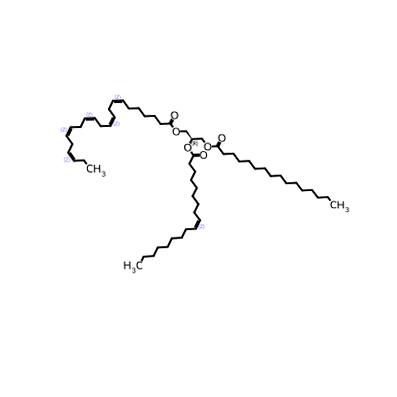 CC/C=C\C/C=C\C/C=C\C/C=C\C/C=C\CCCCCC(=O)OC[C@@H](COC(=O)CCCCCCCCCCCCCCC)OC(=O)CCCCCCC/C=C\CCCCCCCC